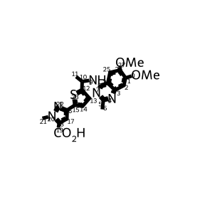 COc1cc2nc(C)nc(NC(C)c3ccc(-c4cc(C(=O)O)n(C)n4)s3)c2cc1OC